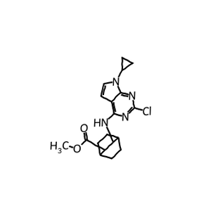 COC(=O)C1C2CCC(CC2)C1Nc1nc(Cl)nc2c1ccn2C1CC1